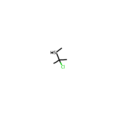 C[SiH](C)C(C)(C)Cl